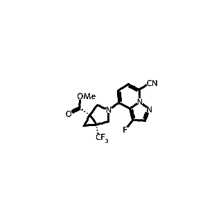 COC(=O)[C@]12CN(c3ccc(C#N)n4ncc(F)c34)C[C@@]1(C(F)(F)F)C2